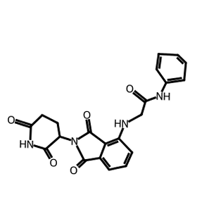 O=C1CCC(N2C(=O)c3cccc(NCC(=O)Nc4ccccc4)c3C2=O)C(=O)N1